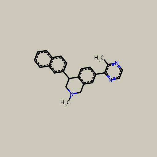 Cc1nccnc1-c1ccc2c(c1)CN(C)CC2c1ccc2ccccc2c1